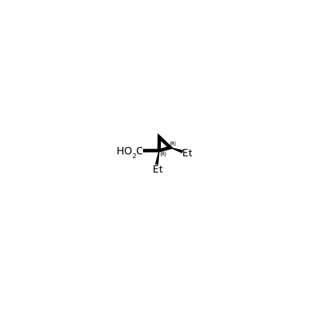 CC[C@@H]1C[C@@]1(CC)C(=O)O